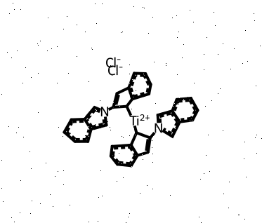 C1=C(n2cc3ccccc3c2)[CH]([Ti+2][CH]2C(n3cc4ccccc4c3)=Cc3ccccc32)c2ccccc21.[Cl-].[Cl-]